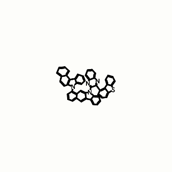 c1cc(-n2c3ccccc3c3c4ccccc4ccc32)c2cc3c(cc2c1)c1ccccc1n3-c1nc2ccccc2nc1-c1cccc2sc3ccccc3c12